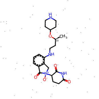 C[C@@H](CCNc1cccc2c1C[N+]([O-])(C1CCC(=O)NC1=O)C2=O)OC1CCNCC1